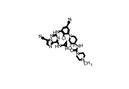 CN1CCN(C(=O)N[C@@H]2CCN(c3cc(C#N)cc(Nc4nc(NC5CC5)c5ncc(C#N)n5n4)c3Cl)C[C@H]2O)CC1